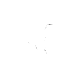 C=C/C=C/C(=C/CC)C(C)NC/C=C\CC